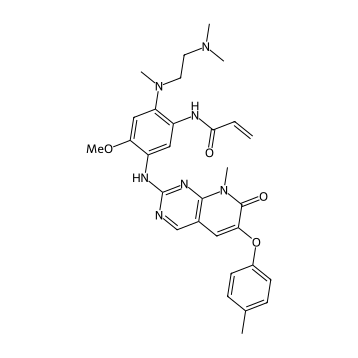 C=CC(=O)Nc1cc(Nc2ncc3cc(Oc4ccc(C)cc4)c(=O)n(C)c3n2)c(OC)cc1N(C)CCN(C)C